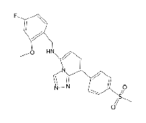 COc1cc(F)ccc1CNc1ccc(-c2ccc(S(C)(=O)=O)cc2)c2nncn12